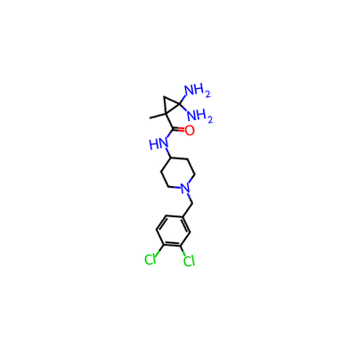 CC1(C(=O)NC2CCN(Cc3ccc(Cl)c(Cl)c3)CC2)CC1(N)N